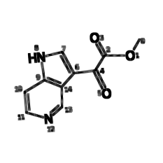 COC(=O)C(=O)c1c[nH]c2ccncc12